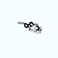 C/C=C1/OCO/C1=C/CNc1ccc2c3c(n(C)c2n1)CCC(NC)C3